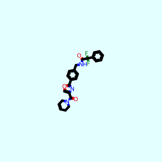 O=C(c1coc(-c2ccc(CNC(=O)C(F)(F)c3ccccc3)cc2)n1)N1CC=CCC1